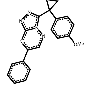 COc1ccc(C2(c3nnc4nc(-c5ccccc5)cnn34)CC2)cc1